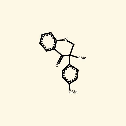 COc1ccc(C2(SC)COc3ccccc3C2=O)cc1